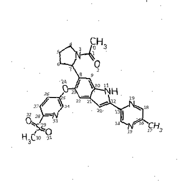 CC(=O)N1CCCC1c1cc2[nH]c(-c3cnc(C)cn3)cc2cc1Oc1ccc(S(C)(=O)=O)nc1